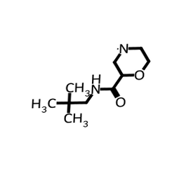 CC(C)(C)CNC(=O)C1C[N]CCO1